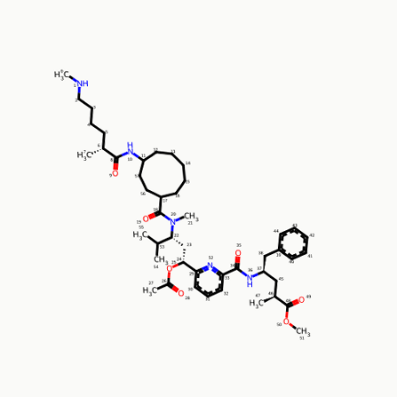 CNCCCC[C@@H](C)C(=O)NC1CCCCCC(C(=O)N(C)[C@H](C[C@@H](OC(C)=O)c2cccc(C(=O)N[C@@H](Cc3ccccc3)C[C@H](C)C(=O)OC)n2)C(C)C)CC1